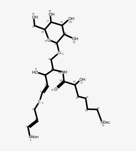 CCCCCCCCCC=CCCC=CC(O)C(COC1OC(CO)C(O)C(O)C1O)NC(=O)C(O)CCCCCCCCCCCCCC